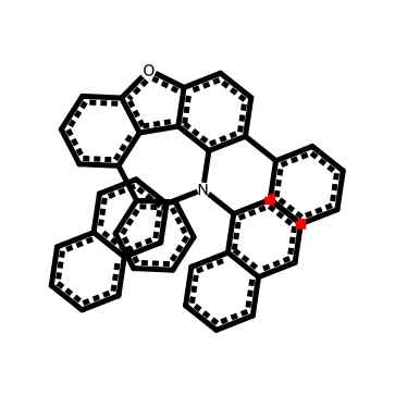 c1ccc(-c2ccc3oc4cccc(-c5ccccc5)c4c3c2N(c2ccc3ccccc3c2)c2cccc3ccccc23)cc1